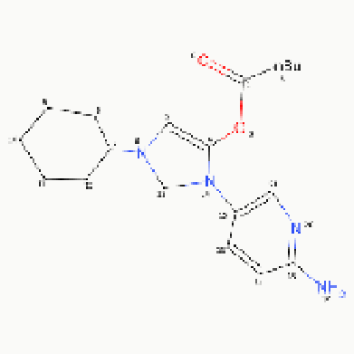 CCCCC(=O)OC1=CN(C2CCCCC2)CN1c1ccc(N)nc1